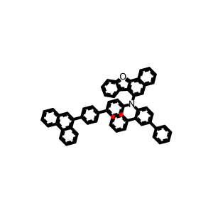 c1ccc(-c2ccc(N(c3ccc(-c4ccc(-c5cc6ccccc6c6ccccc56)cc4)cc3)c3cc4ccccc4c4oc5ccccc5c34)c(-c3ccccc3)c2)cc1